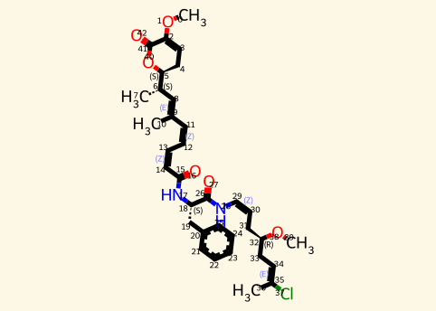 COC1=CC[C@@H]([C@@H](C)/C=C(C)/C=C\C=C/C(=O)N[C@@H](Cc2ccccc2)C(=O)N/C=C\C[C@H](C/C=C(\C)Cl)OC)OC1=O